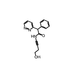 O=C(NC#CCCO)C(c1ccccc1)c1cccnn1